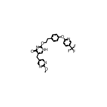 COc1ncc(Cc2c[nH]c(OCCc3ccc(Oc4ccc(C(F)(F)F)cn4)cc3)nc2=O)cn1